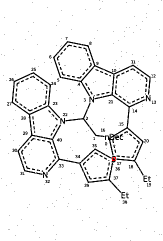 CCCCCCCCCCCC(n1c2ccccc2c2ccnc(-c3csc(CC)c3)c21)n1c2ccccc2c2ccnc(-c3csc(CC)c3)c21